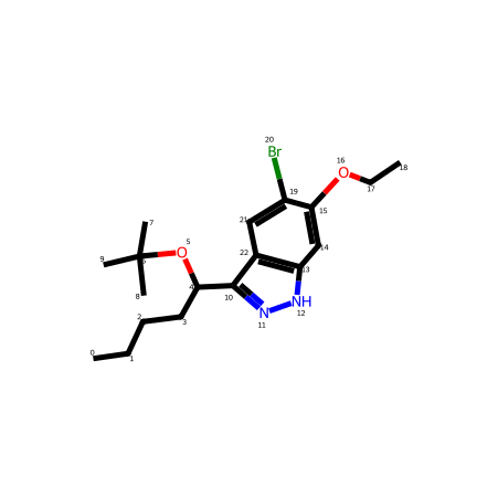 CCCCC(OC(C)(C)C)c1n[nH]c2cc(OCC)c(Br)cc12